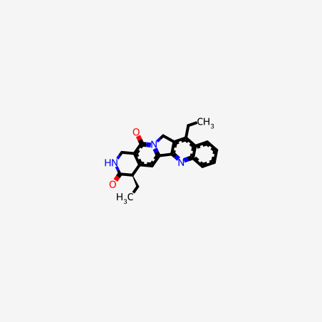 CCc1c2c(nc3ccccc13)-c1cc3c(c(=O)n1C2)CNC(=O)[C@@H]3CC